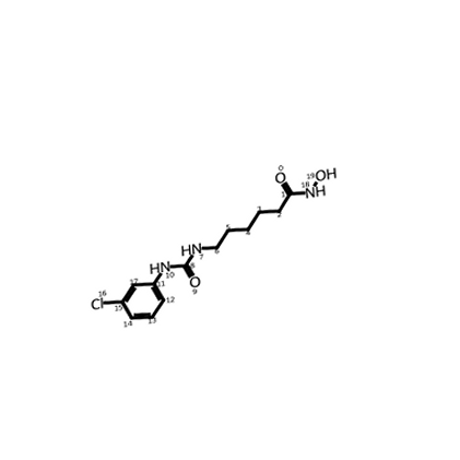 O=C(CCCCCNC(=O)Nc1cccc(Cl)c1)NO